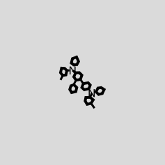 Cc1cccc(N(c2ccccc2)c2ccc(-c3ccc(N(c4ccccc4)c4cccc(C)c4)cc3-c3ccccc3)cc2)c1